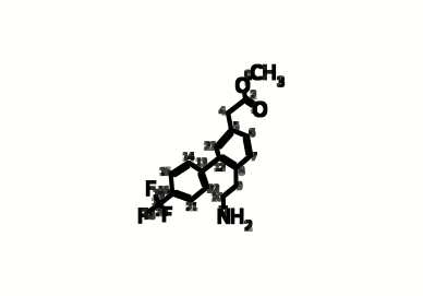 COC(=O)Cc1ccc(CCN)c(-c2ccc(C(F)(F)F)cc2)c1